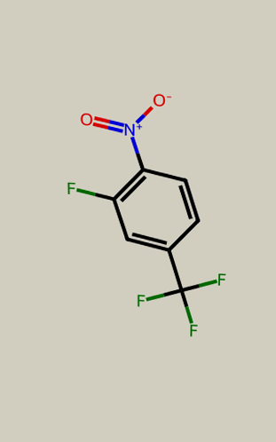 O=[N+]([O-])c1ccc(C(F)(F)F)cc1F